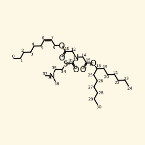 CCCCCC/C=C\COC(=O)CN(CC(=O)OC(CCCCCC)CCCCCC)C(=O)SCCN(C)C